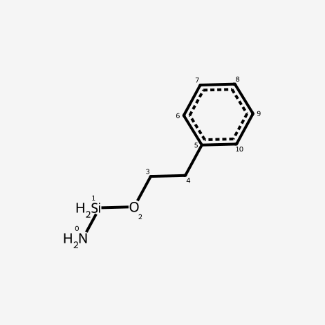 N[SiH2]OCCc1ccccc1